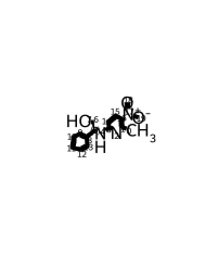 Cc1nc(N[C@H](CO)c2ccccc2)ccc1[N+](=O)[O-]